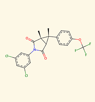 C[C@]12C(=O)N(c3cc(Cl)cc(Cl)c3)C(=O)C1[C@@]2(C)c1ccc(OC(F)(F)F)cc1